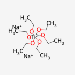 CC[O][Ti-2]([O]CC)([O]CC)([O]CC)([O]CC)[O]CC.[Na+].[Na+]